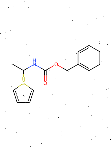 [CH2]C(NC(=O)OCc1ccccc1)[SH]1C=CC=C1